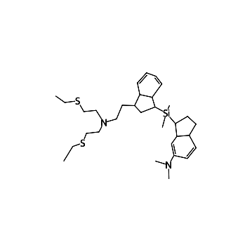 CCSCCN(CCSCC)CCC1CC([Si](C)(C)C2CCC3C=CC(N(C)C)=CC32)C2C=CC=CC12